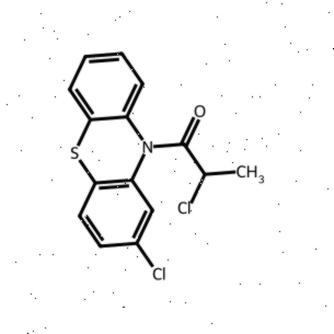 CC(Cl)C(=O)N1c2ccccc2Sc2ccc(Cl)cc21